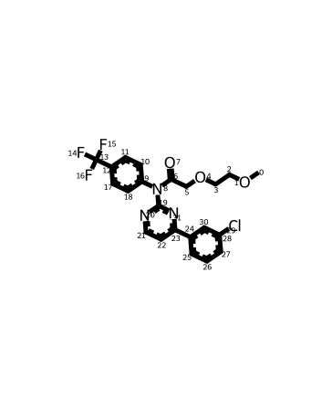 COCCOCC(=O)N(c1ccc(C(F)(F)F)cc1)c1nccc(-c2cccc(Cl)c2)n1